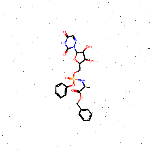 C[C@H](NP(=O)(OCC1OC(n2ncc(=O)[nH]c2=O)C(O)C1O)Oc1ccccc1)C(=O)OCc1ccccc1